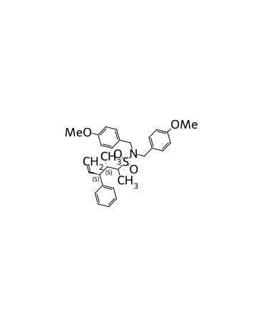 C=C[C@H](c1ccccc1)[C@H](C)C(C)S(=O)(=O)N(Cc1ccc(OC)cc1)Cc1ccc(OC)cc1